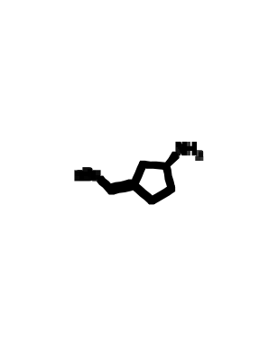 CCCC/C=C1/CC[C@H](N)C1